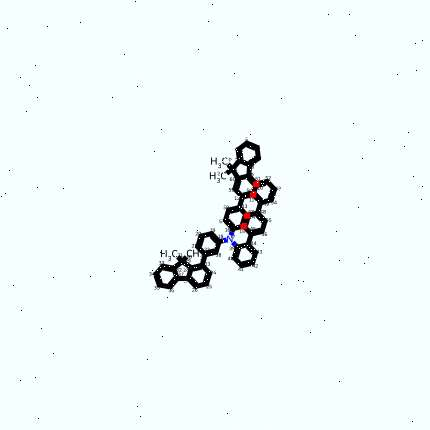 CC1(C)c2ccccc2-c2ccc(-c3ccc(N(c4cccc(-c5cccc6c5C(C)(C)c5ccccc5-6)c4)c4ccccc4-c4ccc(-c5ccccc5)cc4)cc3)cc21